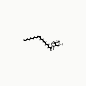 CCCCCCCC/C=C\CCCCCCCC(=O)PNC(CO)C(=O)O